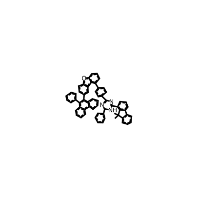 CC1(C)c2ccccc2-c2cccc(C3=NC(c4ccc(-c5cccc6oc7ccc(-c8c(-c9ccccc9)c9ccccc9c9ccccc89)cc7c56)cc4)=NC(c4ccccc4)N3)c21